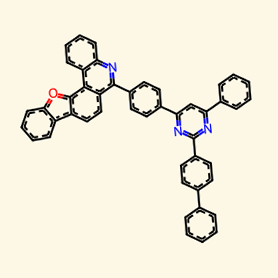 c1ccc(-c2ccc(-c3nc(-c4ccccc4)cc(-c4ccc(-c5nc6ccccc6c6c5ccc5c7ccccc7oc56)cc4)n3)cc2)cc1